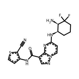 N#Cc1sccc1NC(=O)c1cnn2ccc(N[C@@H]3CCCC(F)(F)[C@@H]3N)nc12